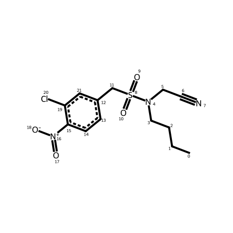 CCCCN(CC#N)S(=O)(=O)Cc1ccc([N+](=O)[O-])c(Cl)c1